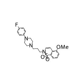 COc1cccc2c1C=CN(CCCN1CCN(c3ccc(F)cc3)CC1)S2(=O)=O